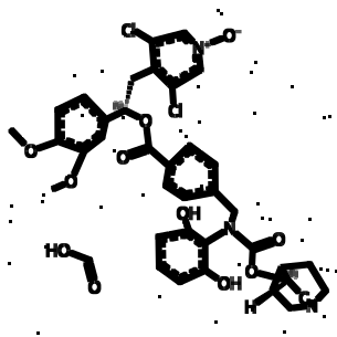 COc1ccc([C@H](Cc2c(Cl)c[n+]([O-])cc2Cl)OC(=O)c2ccc(CN(C(=O)O[C@H]3CN4CCC3CC4)c3c(O)cccc3O)cc2)cc1OC.O=CO